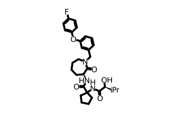 CC(C)[C@H](O)C(=O)NC1(C(=O)N[C@H]2CCCCN(Cc3cccc(Oc4ccc(F)cc4)c3)C2=O)CCCC1